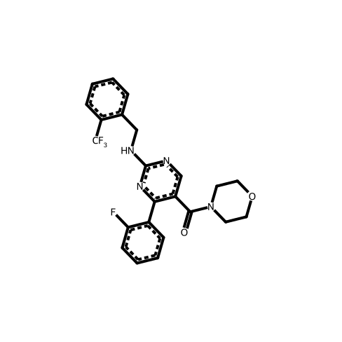 O=C(c1cnc(NCc2ccccc2C(F)(F)F)nc1-c1ccccc1F)N1CCOCC1